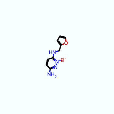 Nc1ccc(NCc2ccco2)[n+]([O-])n1